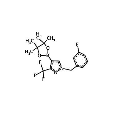 CC1(C)OB(c2cn(Cc3cccc(F)c3)nc2C(F)(F)F)OC1(C)C